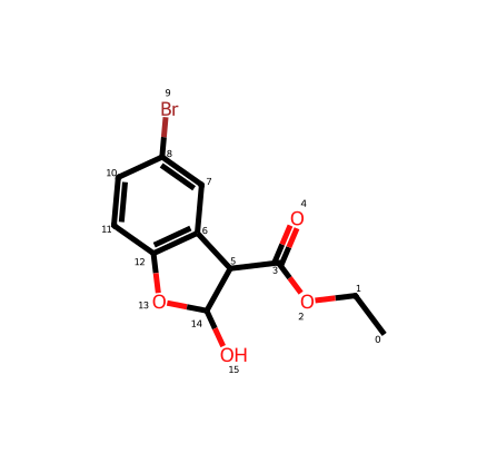 CCOC(=O)C1c2cc(Br)ccc2OC1O